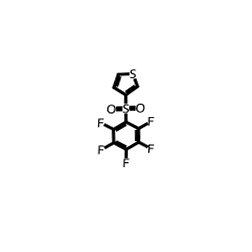 O=S(=O)(c1ccsc1)c1c(F)c(F)c(F)c(F)c1F